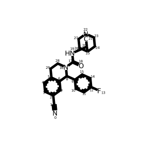 N#Cc1ccc2c(c1)C(c1ccc(F)cc1)N(C(=O)NC1CN3CCC1CC3)CC2